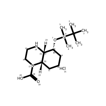 CC(C)(C)[Si](C)(C)O[C@@H]1CCC[C@H]2[C@@H]1NCCN2C(=O)O.Cl